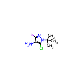 CC(C)(C)n1nc(I)c(N)c1Cl